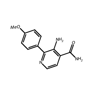 COc1ccc(-c2nccc(C(N)=O)c2N)cc1